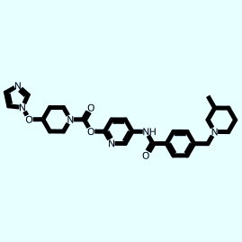 CC1CCCN(Cc2ccc(C(=O)Nc3ccc(OC(=O)N4CCC(On5ccnc5)CC4)nc3)cc2)C1